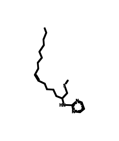 CCCCCCCC/C=C\CCCCC(CSC)Nc1ncccn1